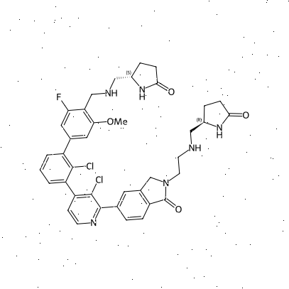 COc1cc(-c2cccc(-c3ccnc(-c4ccc5c(c4)CN(CCNC[C@H]4CCC(=O)N4)C5=O)c3Cl)c2Cl)cc(F)c1CNC[C@@H]1CCC(=O)N1